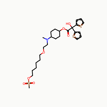 CN(CCOCCCCCCOS(C)(=O)=O)C1CCC(OC(=O)C(O)(c2cccs2)c2cccs2)CC1